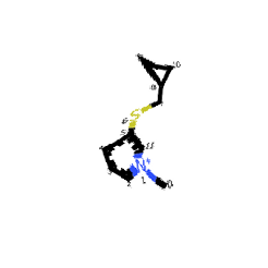 C[n+]1cccc(SCC2CC2)c1